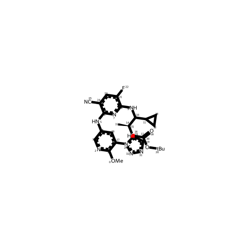 COc1ncc(Nc2nc(NC(C3CC3)[C@H](C)NC(=O)OC(C)(C)C)c(F)cc2C#N)cc1-n1ccnn1